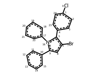 Clc1ccc(-c2c(Br)cc(-c3ccccc3)n2-c2ccccc2)cc1